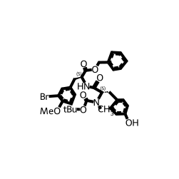 COc1ccc(C[C@H](NC(=O)[C@H](Cc2ccc(O)cc2)N(C)C(=O)OC(C)(C)C)C(=O)OCc2ccccc2)cc1Br